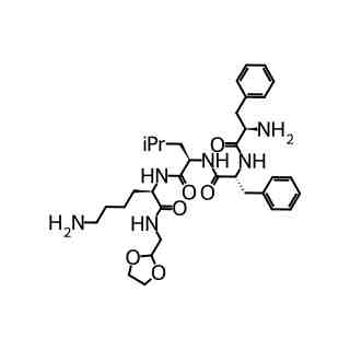 CC(C)C[C@@H](NC(=O)[C@@H](Cc1ccccc1)NC(=O)[C@H](N)Cc1ccccc1)C(=O)N[C@H](CCCCN)C(=O)NCC1OCCO1